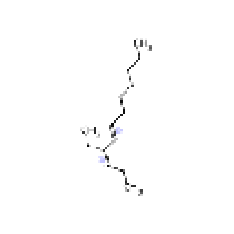 CC/[C]=C(\C=C\CCCCCC)CC